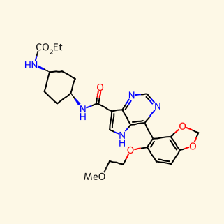 CCOC(=O)N[C@H]1CC[C@@H](NC(=O)c2c[nH]c3c(-c4c(OCCOC)ccc5c4OCO5)ncnc23)CC1